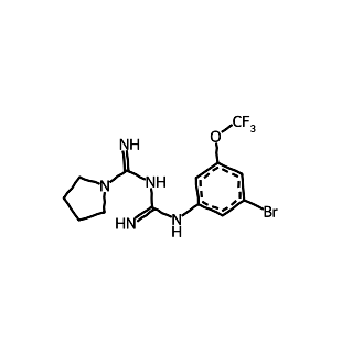 N=C(NC(=N)N1CCCC1)Nc1cc(Br)cc(OC(F)(F)F)c1